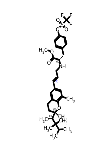 COC(=O)[C@H](Cc1ccc(OS(=O)(=O)C(F)(F)F)cc1)NC/C=C/c1cc(C)c2c(c1)CC[C@@](C)([C@H](C)C(C)(C)C(C)C)O2